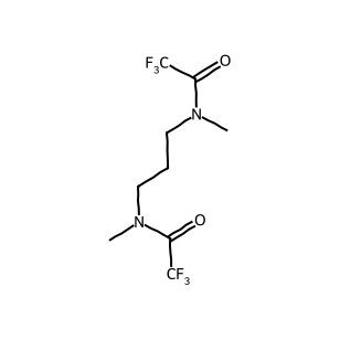 CN(CCCN(C)C(=O)C(F)(F)F)C(=O)C(F)(F)F